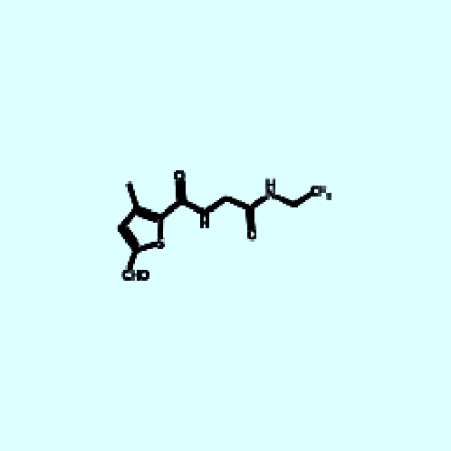 Cc1cc(C=O)sc1C(=O)NCC(=O)NCC(F)(F)F